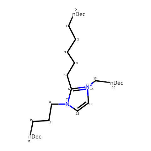 CCCCCCCCCCCCCCCc1n(CCCCCCCCCCCCC)cc[n+]1CCCCCCCCCCC